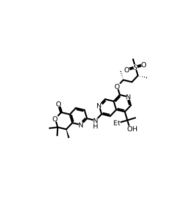 CCC(C)(O)c1cnc(O[C@H](C)C[C@@H](C)S(C)(=O)=O)c2cnc(Nc3ccc4c(n3)[C@@H](C)C(C)(C)OC4=O)cc12